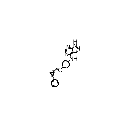 c1ccc([C@@H]2C[C@H]2COC2CCC(Nc3ncnc4[nH]ncc34)CC2)cc1